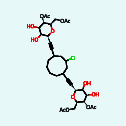 CC(=O)OC[C@H]1O[C@H](C#CC2CCCCC(C#C[C@H]3O[C@H](COC(C)=O)[C@@H](OC(C)=O)[C@H](O)[C@@H]3O)CC(Cl)C2)[C@@H](O)[C@@H](O)[C@@H]1OC(C)=O